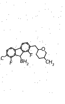 BC1c2c(ccc(C)c2F)-c2ccc(CC3CCC(C)CO3)c(F)c21